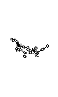 c1ccc(-c2ccc(-c3ccc4c(c3)oc3cccc(-c5nc(-c6ccccc6)nc(-c6cc7c8cccc(-c9ccc(-c%10nc(-c%11ccc%12ccc%13c%14ccccc%14ccc%13c%12c%11)nc(-c%11cccc%12oc%13cc(-c%14cccc(-c%15ccccc%15)c%14)ccc%13c%11%12)n%10)cc9)c8ccc7c7ccccc67)n5)c34)cc2)cc1